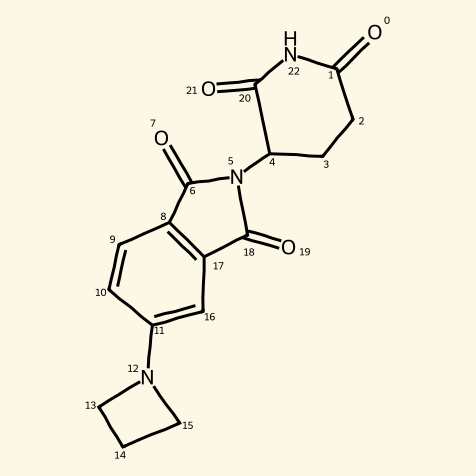 O=C1CCC(N2C(=O)c3ccc(N4CCC4)cc3C2=O)C(=O)N1